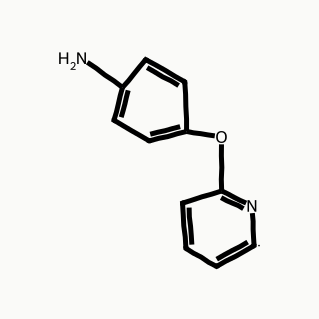 Nc1ccc(Oc2ccc[c]n2)cc1